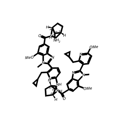 COc1ccc(-c2nc3cc(C(=O)N4C[C@H]5CC[C@@H]4[C@@H]5Nc4ccc(-c5nc6cc(C(=O)N7C[C@H]8CC[C@@H]7[C@@H]8N)cc(OC)c6n5C)c(CC5CC5)n4)cc(OC)c3n2C)c(CC2CC2)n1